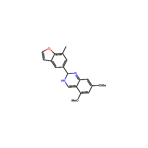 COc1cc(OC)c2c(c1)=NC(c1cc(C)c3occc3c1)NC=2